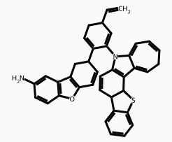 C=CC1C=C(n2c3c(c4c2=CC=CCC=4)C2Sc4ccccc4C2C=C3)C(C2C=Cc3oc4ccc(N)cc4c3C2)=CC1